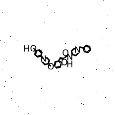 O=C(NC1CCN(Cc2ccccc2)CC1)c1cc2cc(OC3CCN(c4ccc(O)cc4)CC3)ccc2o1